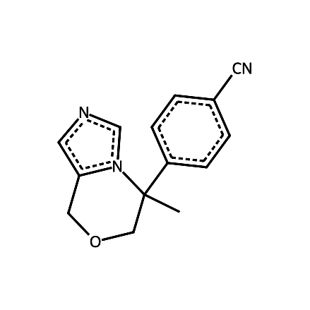 CC1(c2ccc(C#N)cc2)COCc2cncn21